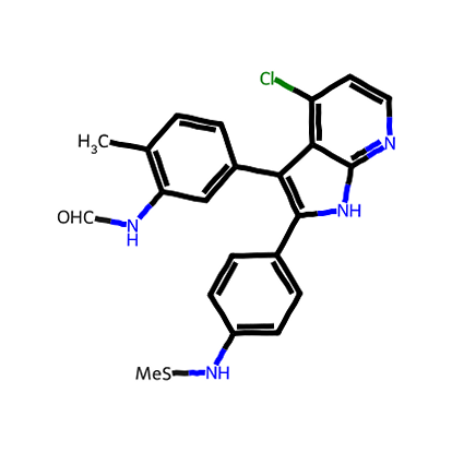 CSNc1ccc(-c2[nH]c3nccc(Cl)c3c2-c2ccc(C)c(NC=O)c2)cc1